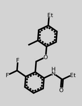 CCC(=O)Nc1cccc(C(F)F)c1COc1ccc(CC)cc1C